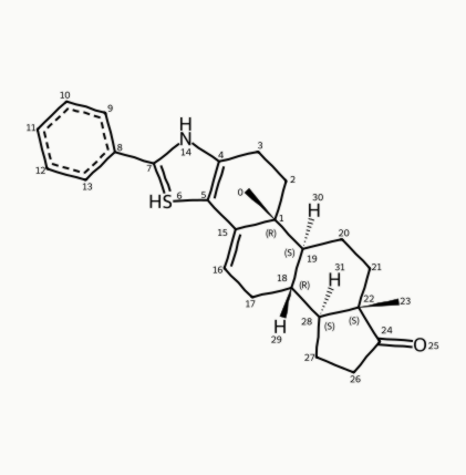 C[C@]12CCC3=C([SH]=C(c4ccccc4)N3)C1=CC[C@@H]1[C@@H]2CC[C@]2(C)C(=O)CC[C@@H]12